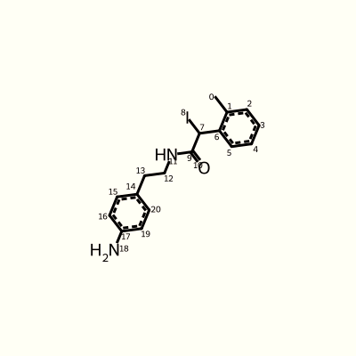 Cc1ccccc1C(I)C(=O)NCCc1ccc(N)cc1